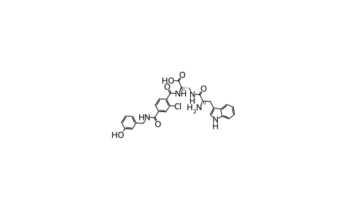 N[C@@H](Cc1c[nH]c2ccccc12)C(=O)NC[C@H](NC(=O)c1ccc(C(=O)NCc2cccc(O)c2)cc1Cl)C(=O)O